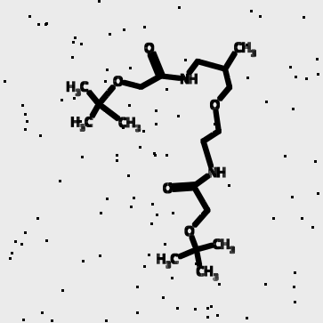 CC(CNC(=O)COC(C)(C)C)COCCNC(=O)COC(C)(C)C